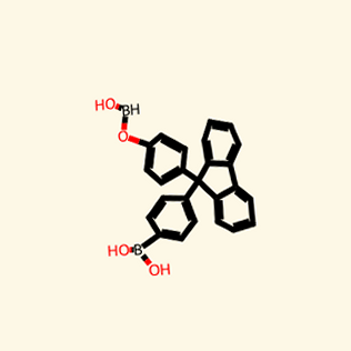 OBOc1ccc(C2(c3ccc(B(O)O)cc3)c3ccccc3-c3ccccc32)cc1